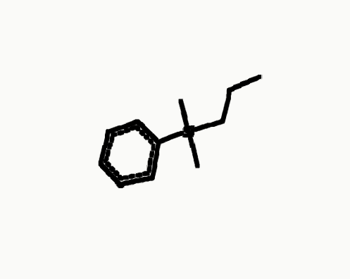 CCC[Si](C)(C)c1ccccc1